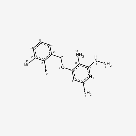 NNc1nc(N)cc(OCc2cccc(Br)c2F)c1N